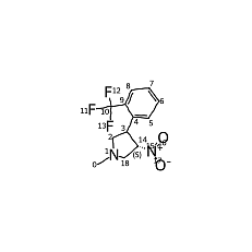 CN1CC(c2ccccc2C(F)(F)F)[C@H]([N+](=O)[O-])C1